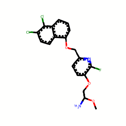 COC(N)COc1ccc(COc2cccc3c(Cl)c(Cl)ccc23)nc1F